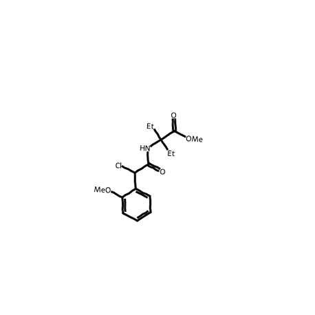 CCC(CC)(NC(=O)C(Cl)c1ccccc1OC)C(=O)OC